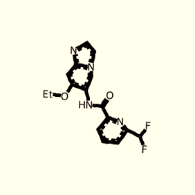 CCOc1cc2nccn2cc1NC(=O)c1cccc(C(F)F)n1